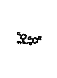 CCCN(CCOc1ccc(Cl)cc1Cl)c1cccc(Cl)c1